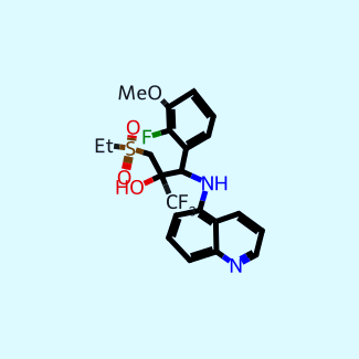 CCS(=O)(=O)CC(O)(C(Nc1cccc2ncccc12)c1cccc(OC)c1F)C(F)(F)F